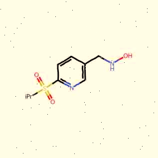 CC(C)S(=O)(=O)c1ccc(CNO)cn1